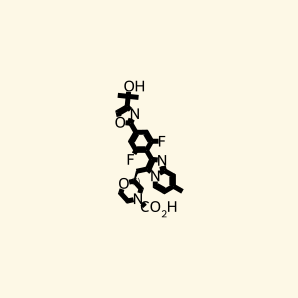 Cc1ccn2c(C[C@H]3CN(C(=O)O)CCO3)c(-c3c(F)cc(-c4nc(C(C)(C)O)co4)cc3F)nc2c1